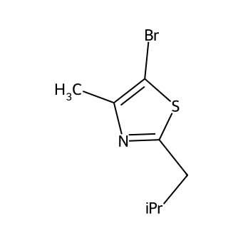 Cc1nc(CC(C)C)sc1Br